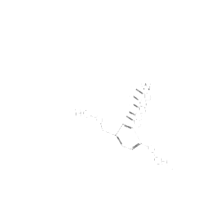 [CH]OCc1ccc(OC)cc1.[C]=O.[C]=O.[C]=O.[C]=O.[C]=O.[W]